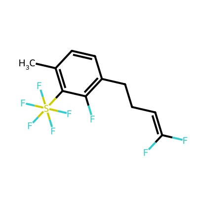 Cc1ccc(CCC=C(F)F)c(F)c1S(F)(F)(F)(F)F